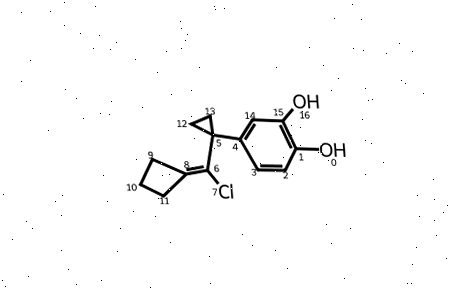 Oc1ccc(C2(C(Cl)=C3CCC3)CC2)cc1O